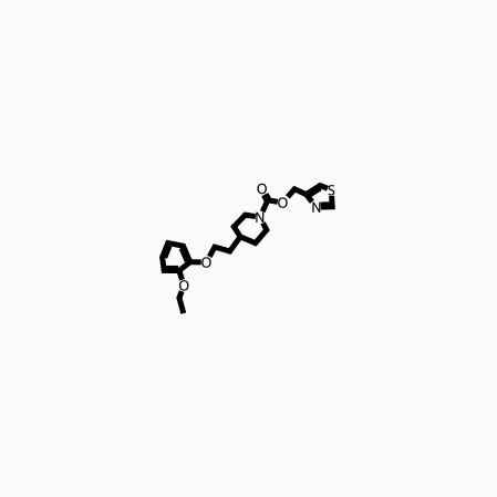 CCOc1ccccc1OCCC1CCN(C(=O)OCc2cscn2)CC1